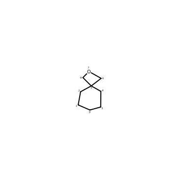 C1CCC2(CC1)COC2